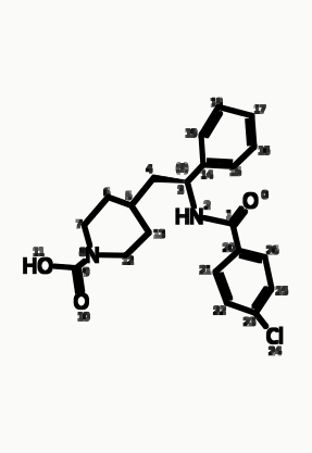 O=C(N[C@@H](CC1CCN(C(=O)O)CC1)c1ccccc1)c1ccc(Cl)cc1